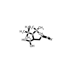 C[Si](C)(C)N(C(CN=[N+]=[N-])B(O)O)[Si](C)(C)C